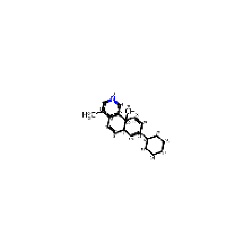 Cc1cncc2c1C=CC1C=C(C3CCCCC3)C=CC21C